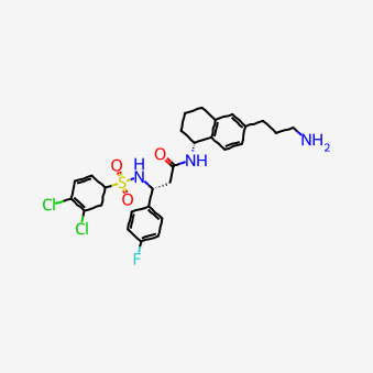 NCCCc1ccc2c(c1)CCC[C@H]2NC(=O)C[C@@H](NS(=O)(=O)C1C=CC(Cl)=C(Cl)C1)c1ccc(F)cc1